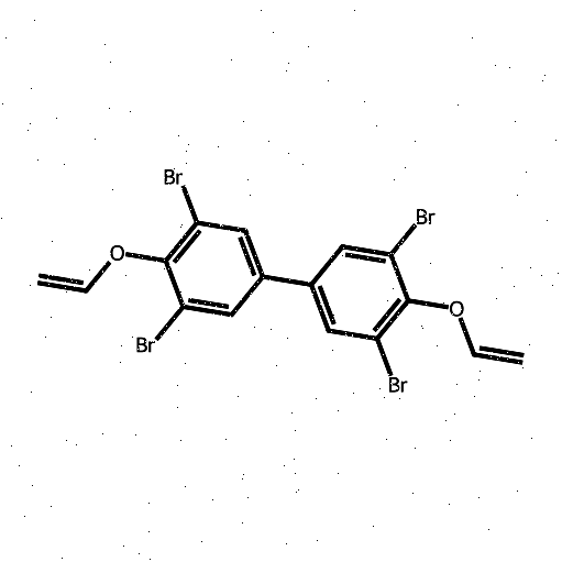 C=COc1c(Br)cc(-c2cc(Br)c(OC=C)c(Br)c2)cc1Br